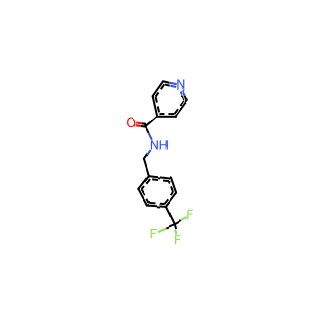 O=C(NCc1ccc(C(F)(F)F)cc1)c1ccncc1